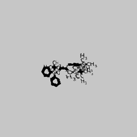 CC(C)(C)[Si](C)(C)O[C@@H](CC#C[Si](C)(C)C)CO[Si](c1ccccc1)(c1ccccc1)C(C)(C)C